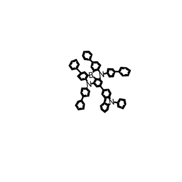 c1ccc(-c2ccc(N3c4ccc(-c5ccccc5)cc4B4c5cc(-c6ccccc6)ccc5N(c5ccc(-c6ccccc6)cc5)c5cc(-c6ccc7c(c6)c6ccccc6n7-c6ccccc6)cc3c54)cc2)cc1